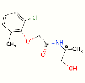 Cc1cccc(Cl)c1OCC(=O)N[C@@H](C)CO